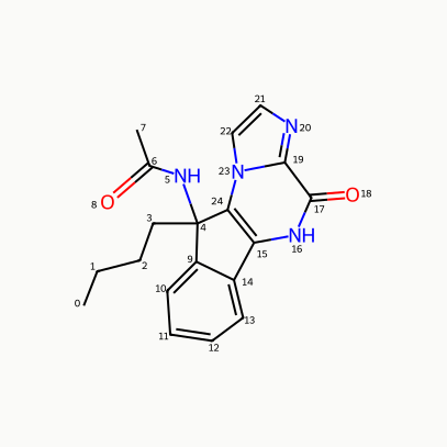 CCCCC1(NC(C)=O)c2ccccc2-c2[nH]c(=O)c3nccn3c21